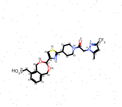 Cc1cc(C(F)(F)F)nn1CC(=O)N1CCC(c2nc(C3OCc4cccc(CS(=O)(=O)O)c4CO3)cs2)CC1